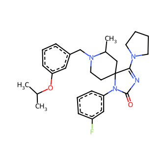 CC(C)Oc1cccc(CN2CCC3(CC2C)C(N2CCCC2)=NC(=O)N3c2cccc(F)c2)c1